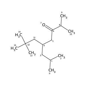 CC(C)CC(CC(=O)C(C)C)CC(C)(C)C